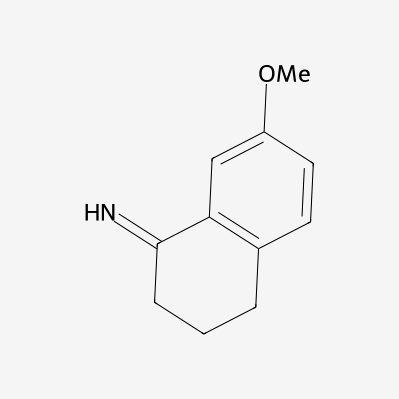 COc1ccc2c(c1)C(=N)CCC2